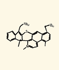 Cc1c2c(c(CC(C)(C)C)c3ccccc13)Sc1cc3c(CC(C)(C)C)ccc(C)c3c3cc[n+](C)c-2c13